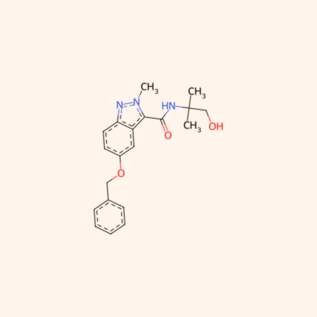 Cn1nc2ccc(OCc3ccccc3)cc2c1C(=O)NC(C)(C)CO